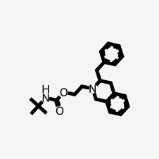 CC(C)(C)NC(=O)OCCN1Cc2ccccc2CC1Cc1ccccc1